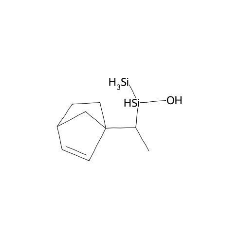 CC([SiH](O)[SiH3])C12C=CC(CC1)C2